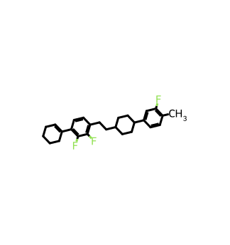 Cc1ccc(C2CCC(CCc3ccc(C4=CCCCC4)c(F)c3F)CC2)cc1F